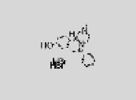 Br.Br.CN1CCN2[C@H](c3ccccc3)Cc3cc(O)ccc3[C@@H]2C1